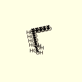 C=C(C)C(=O)O.C=C(C)C(=O)O.C=C(C)C(=O)O.C=C(C)C(=O)O.C=C(C)C(=O)O.C=C(C)C(=O)O.C=C(C)C(=O)O.C=C(C)C(=O)O.OC[C@@H](O)[C@@H](O)CO